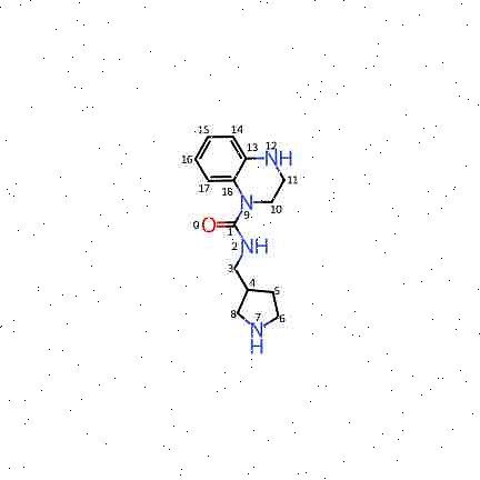 O=C(NCC1CCNC1)N1CCNc2ccccc21